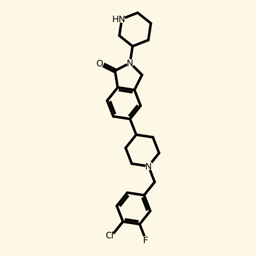 O=C1c2ccc(C3CCN(Cc4ccc(Cl)c(F)c4)CC3)cc2CN1C1CCCNC1